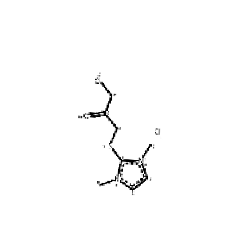 Cn1cc[n+](C)c1SCC(=O)CCl.[Cl-]